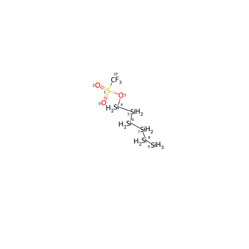 O=S(=O)(O[SiH2][SiH2][SiH2][SiH2][SiH2][SiH3])C(F)(F)F